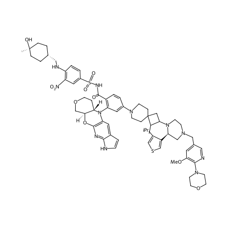 COc1cc(CN2CCN(C3CC4(CCN(c5ccc(C(=O)NS(=O)(=O)c6ccc(NC[C@H]7CC[C@](C)(O)CC7)c([N+](=O)[O-])c6)c(N6c7cc8cc[nH]c8nc7O[C@H]7COCC[C@@H]76)c5)CC4)C3C)[C@H](c3cscc3C(C)C)C2)cnc1N1CCOCC1